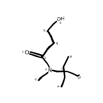 CN(C(=O)CCO)C(C)(C)C